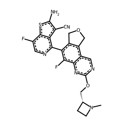 CN1CC[C@@H]1COc1ncc2c3c(c(-c4ncc(F)c5sc(N)c(C#N)c45)c(F)c2n1)COC3